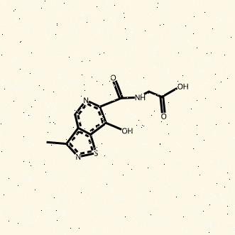 Cc1nsc2c(O)c(C(=O)NCC(=O)O)ncc12